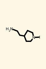 NCCC1CCN(I)CC1